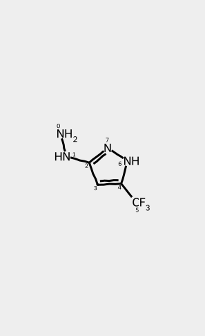 NNc1cc(C(F)(F)F)[nH]n1